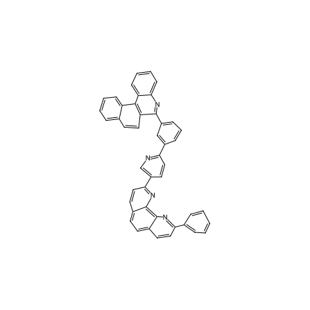 c1ccc(-c2ccc3ccc4ccc(-c5ccc(-c6cccc(-c7nc8ccccc8c8c7ccc7ccccc78)c6)nc5)nc4c3n2)cc1